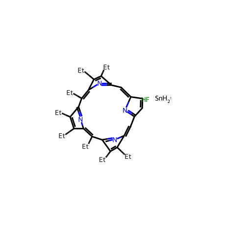 CCC1=C(CC)C2=NC1=CC1=NC(=CC3=NC(=C(CC)C4=NC(=C2CC)C(CC)=C4CC)C(CC)=C3CC)C=C1.F.[SnH2]